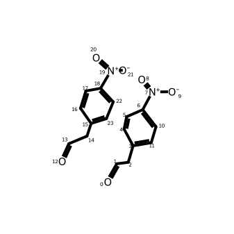 O=CCc1ccc([N+](=O)[O-])cc1.O=CCc1ccc([N+](=O)[O-])cc1